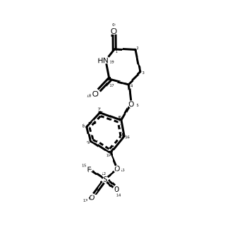 O=C1CCC(Oc2cccc(OS(=O)(=O)F)c2)C(=O)N1